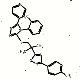 Cc1ccc(-c2noc(C(C)(C)CSc3nnc(-c4ccncc4)n3-c3ccccc3C)n2)cc1